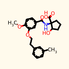 COc1ccc(C(=O)NC2(C(=O)O)CCCC2O)cc1OCCc1cccc(C)c1